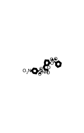 O=c1oc2c(OS(=O)(=O)c3ccccc3)cccc2cc1NS(=O)(=O)c1ccc([N+](=O)[O-])cc1